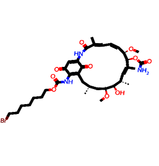 CO[C@H]1/C=C\C=C(/C)C(=O)NC2=CC(=O)C(NC(=O)OCCCCCCCBr)=C(C[C@@H](C)C[C@H](OC)[C@H](O)[C@@H](C)/C=C(\C)[C@@H]1OC(N)=O)C2=O